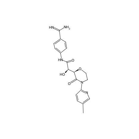 Cc1ccc(N2CCO[C@H]([C@@H](O)C(=O)Nc3ccc(C(=N)N)cc3)C2=O)nc1